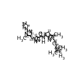 Cc1nc(N2CC3CC3C2)ncc1Cn1cc(C(=O)N[C@@H]2CCc3c2nn(COCC[Si](C)(C)C)c3C)nn1